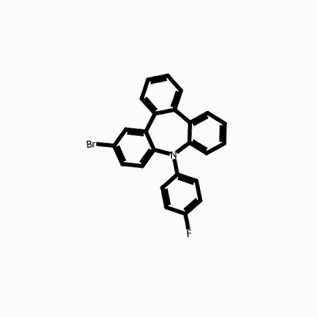 Fc1ccc(N2c3ccccc3-c3ccccc3-c3cc(Br)ccc32)cc1